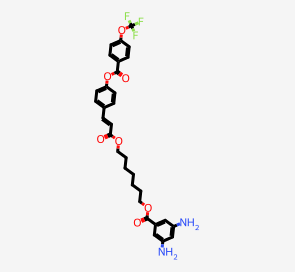 Nc1cc(N)cc(C(=O)OCCCCCCCOC(=O)C=Cc2ccc(OC(=O)c3ccc(OC(F)(F)F)cc3)cc2)c1